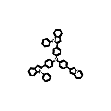 c1ccc(-n2c(-c3ccc(N(c4ccc(-c5cc6ccccn6c5)cc4)c4ccc(-c5cc6ccccc6n5-c5ccccc5)cc4)cc3)cc3ccccc32)cc1